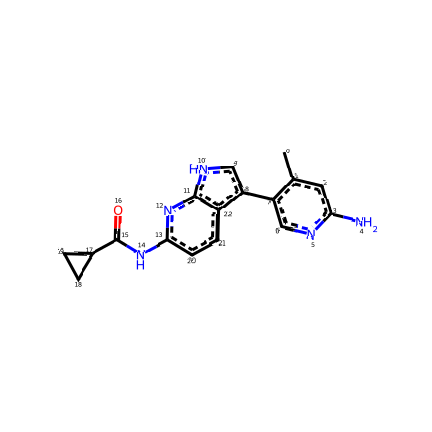 Cc1cc(N)ncc1-c1c[nH]c2nc(NC(=O)C3CC3)ccc12